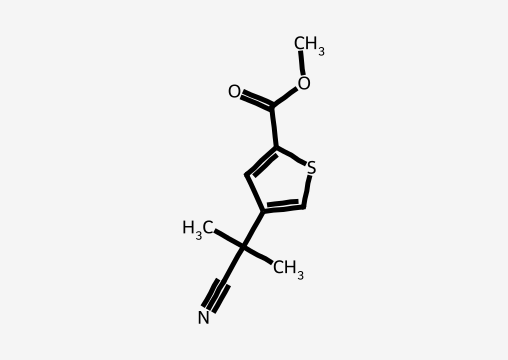 COC(=O)c1cc(C(C)(C)C#N)cs1